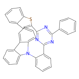 c1ccc(-c2nc(-c3cc4ccccc4s3)nc(-c3ccccc3-n3c4ccccc4c4ccccc43)n2)cc1